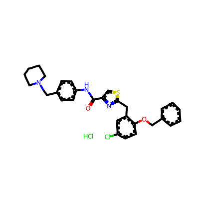 Cl.O=C(Nc1ccc(CN2CCCCC2)cc1)c1csc(Cc2cc(Cl)ccc2OCc2ccccc2)n1